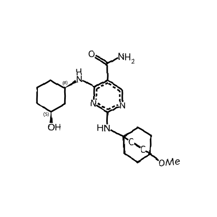 COC12CCC(Nc3ncc(C(N)=O)c(N[C@@H]4CCC[C@H](O)C4)n3)(CC1)CC2